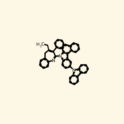 CCC1=C(c2ccccc2)C(n2c3ccc(-n4c5ccccc5c5ccccc54)cc3c3c4ccccc4ccc32)=Nc2ccccc2C1